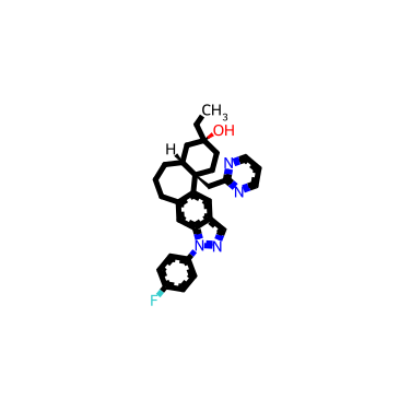 CC[C@]1(O)CC[C@]2(Cc3ncccn3)c3cc4cnn(-c5ccc(F)cc5)c4cc3CCC[C@@H]2C1